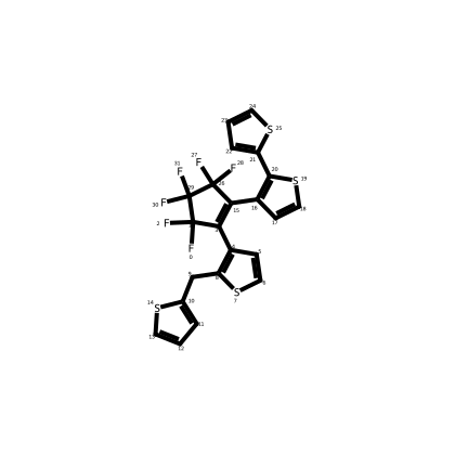 FC1(F)C(c2ccsc2Cc2cccs2)=C(c2ccsc2-c2cccs2)C(F)(F)C1(F)F